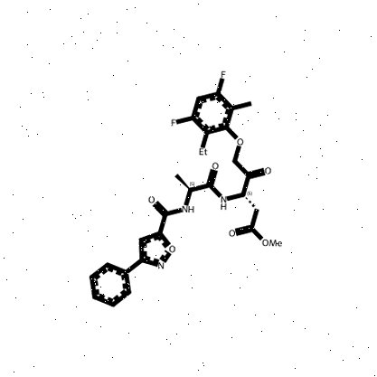 CCc1c(F)cc(F)c(C)c1OCC(=O)[C@H](CC(=O)OC)NC(=O)[C@H](C)NC(=O)c1cc(-c2ccccc2)no1